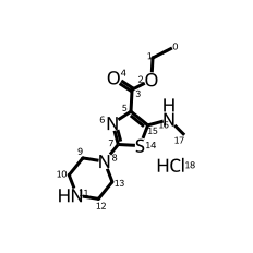 CCOC(=O)c1nc(N2CCNCC2)sc1NC.Cl